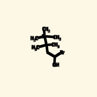 CC(C)(CC(O)Br)[Si](C)(C)C